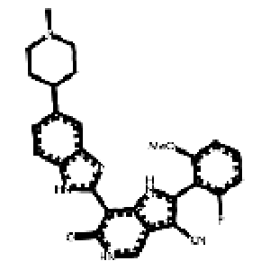 COc1cccc(F)c1-c1[nH]c2c(-c3nc4cc(C5CCN(C)CC5)ccc4[nH]3)c(=O)[nH]cc2c1C#N